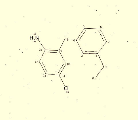 CCc1ccccc1.Cc1cc(Cl)ccc1N